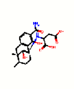 CC1CC[C@]23C[C@H](NC(CC(=O)O)C(=O)O)CC[C@@]2(O)[C@H]1Cc1ccc(C(N)=O)c(O)c13